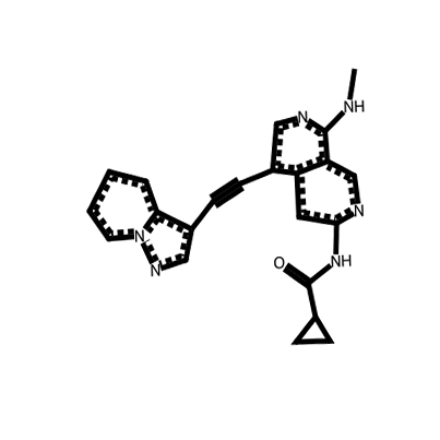 CNc1ncc(C#Cc2cnn3ccccc23)c2cc(NC(=O)C3CC3)ncc12